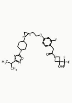 CC(C)c1noc(N2CCC([C@H]3C[C@H]3CCOc3ccc(CC(=O)N4CC(O)(C(F)(F)F)C4)c(F)c3)CC2)n1